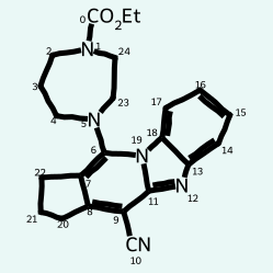 CCOC(=O)N1CCCN(c2c3c(c(C#N)c4nc5ccccc5n24)CCC3)CC1